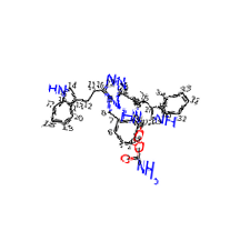 NC(=O)Oc1ccc(Cn2c([CH]Cc3c[nH]c4ccccc34)nnc2[C@@H](Cc2c[nH]c3ccccc23)NC=O)cc1